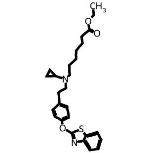 CCOC(=O)CCCCCCN(CCc1ccc(Oc2nc3ccccc3s2)cc1)C1CC1